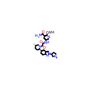 COc1ncc(NC(=O)C(=O)N2C[C@@H](C)CC[C@@H]2c2ccc3nn(C4CCN(C)C4)cc3c2)cc1C(N)=O